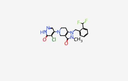 Cn1c(=O)c2c(n1Cc1ccccc1C(F)F)CCN(c1cn[nH]c(=O)c1Cl)C2